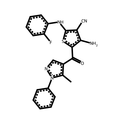 Cc1c(C(=O)c2sc(Nc3ccccc3F)c(C#N)c2N)cnn1-c1ccccc1